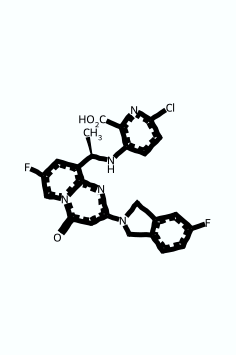 C[C@@H](Nc1ccc(Cl)nc1C(=O)O)c1cc(F)cn2c(=O)cc(N3Cc4ccc(F)cc4C3)nc12